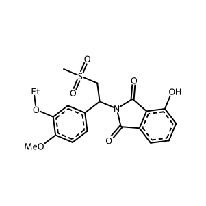 CCOc1cc(C(CS(C)(=O)=O)N2C(=O)c3cccc(O)c3C2=O)ccc1OC